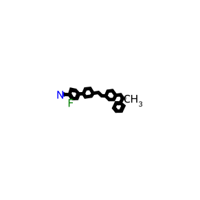 C[C@@H](CC1CCC(CCC2CCC(c3ccc(C#N)c(F)c3)CC2)CC1)c1ccccc1